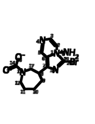 N[N+]12C=CN=CC1=C(C1CCCCN(C(=O)[O-])C1)N=C2Br